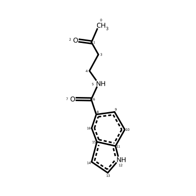 CC(=O)CCNC(=O)c1ccc2[nH]ccc2c1